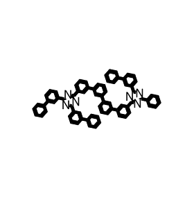 c1ccc(-c2cccc(-c3nc(-c4ccccc4)nc(-c4cccc(-c5cccc(-c6cccc(-c7cccc(-c8nc(-c9cccc(-c%10ccccc%10)c9)nc(-c9cccc(-c%10ccccc%10)c9)n8)c7)c6)c5)c4)n3)c2)cc1